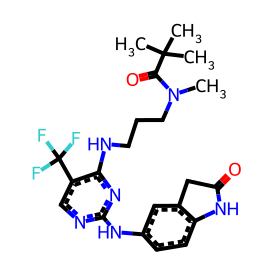 CN(CCCNc1nc(Nc2ccc3c(c2)CC(=O)N3)ncc1C(F)(F)F)C(=O)C(C)(C)C